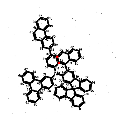 c1ccc2c(c1)-c1ccccc1C21c2ccccc2-c2cc(-c3cccc4ccccc34)c(N(c3ccc(-c4ccc5c(ccc6ccccc65)c4)cc3)c3ccc4c5ccccc5c5ccccc5c4c3)cc21